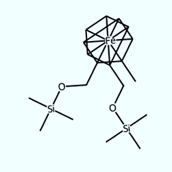 C[C]12[CH]3[CH]4[CH]5[C]1(CO[Si](C)(C)C)[Fe]43521678[CH]2[CH]1[CH]6[C]7(CO[Si](C)(C)C)[CH]28